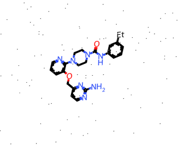 CCc1cccc(NC(=O)N2CCN(c3ncccc3OCc3ccnc(N)n3)CC2)c1